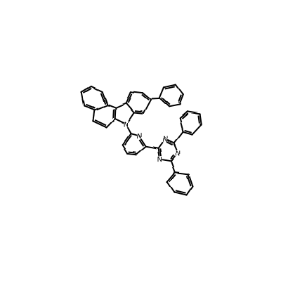 c1ccc(-c2ccc3c4c5ccccc5ccc4n(-c4cccc(-c5nc(-c6ccccc6)nc(-c6ccccc6)n5)n4)c3c2)cc1